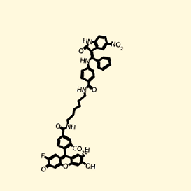 O=C1Nc2ccc([N+](=O)[O-])cc2/C1=C(/Nc1ccc(C(=O)NCCCCCCNC(=O)c2ccc(-c3c4cc(F)c(=O)cc-4oc4cc(O)c(F)cc34)c(C(=O)O)c2)cc1)c1ccccc1